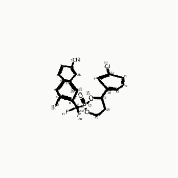 N#Cc1ccc2cc(Br)c(C(F)(F)P3(=O)OCCC(c4cccc(Cl)c4)O3)cc2c1